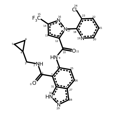 O=C(NCC1CC1)c1c(NC(=O)c2cc(C(F)(F)F)nn2-c2ncccc2Cl)ccc2cn[nH]c12